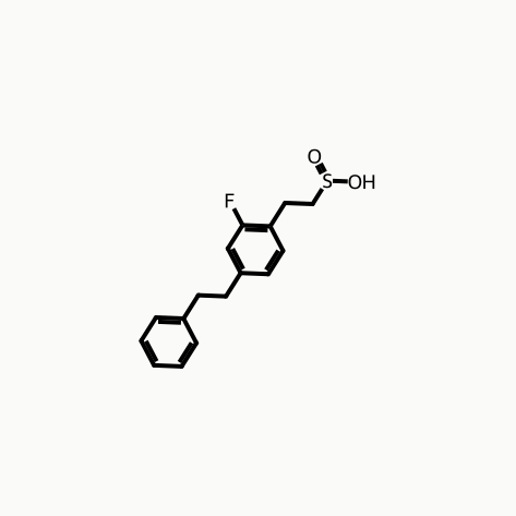 O=S(O)CCc1ccc(CCc2ccccc2)cc1F